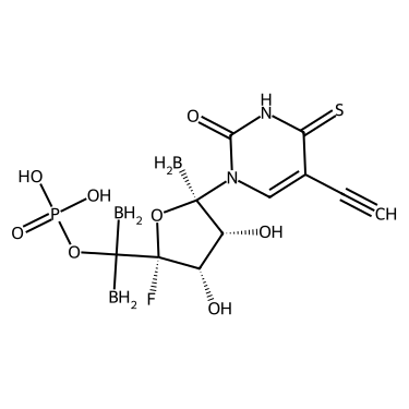 BC(B)(OP(=O)(O)O)[C@@]1(F)O[C@@](B)(n2cc(C#C)c(=S)[nH]c2=O)[C@H](O)[C@@H]1O